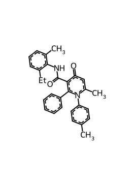 CCc1cccc(C)c1NC(=O)c1c(-c2ccccc2)n(-c2ccc(C)cc2)c(C)cc1=O